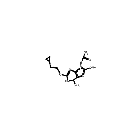 COc1nc2c(n1OC(=O)C(F)(F)F)N=C(OCCC1CC1)NC2N